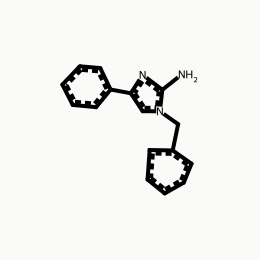 Nc1nc(-c2ccccc2)cn1Cc1ccccc1